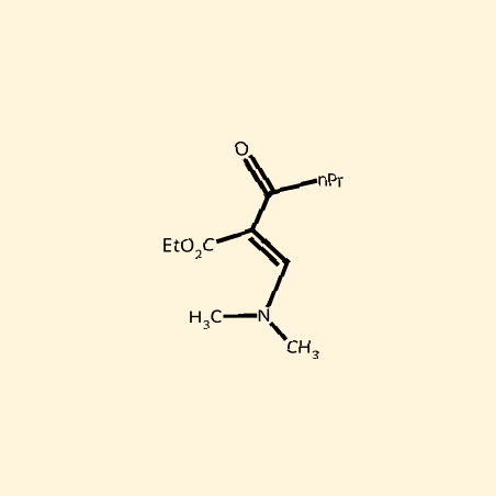 CCCC(=O)/C(=C/N(C)C)C(=O)OCC